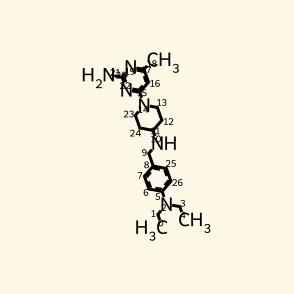 CCN(CC)c1ccc(CNC2CCN(c3cc(C)nc(N)n3)CC2)cc1